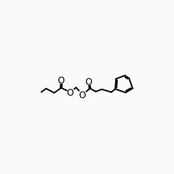 CCCC(=O)OCOC(=O)CCCc1ccccc1